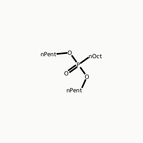 CCCCCCCCP(=O)(OCCCCC)OCCCCC